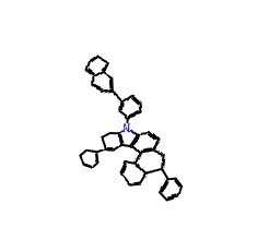 C1=CCCC(C2=Cc3c(n(-c4cccc(-c5ccc6ccccc6c5)c4)c4ccc5c(c34)C3C=CCCC3C(c3ccccc3)C5)CC2)=C1